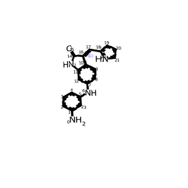 Nc1cccc(Nc2ccc3c(c2)NC(=O)/C3=C/c2ccc[nH]2)c1